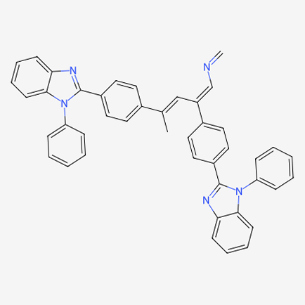 C=N/C=C(\C=C(/C)c1ccc(-c2nc3ccccc3n2-c2ccccc2)cc1)c1ccc(-c2nc3ccccc3n2-c2ccccc2)cc1